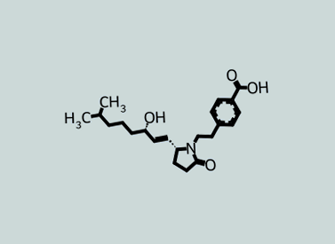 CC(C)CCC[C@H](O)C=C[C@H]1CCC(=O)N1CCc1ccc(C(=O)O)cc1